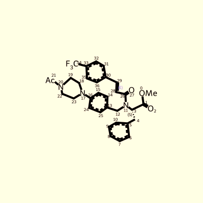 COC(=O)[C@H](Cc1ccccc1)N(Cc1ccc(N2CCN(C(C)=O)CC2)cc1)C(=O)/C=C/c1ccc(C(F)(F)F)cc1